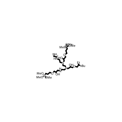 CCCCC(CC)COCC(O)CN(CCNCC(O)COCCC[Si](OC)(OC)OC)CCN(CCNCCN)CC(O)COCCC[Si](OC)(OC)OC